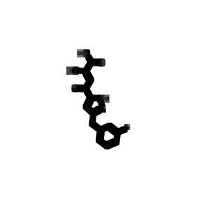 O=C(O)C(O)=CC(=O)c1cc(Cc2cccc(F)c2)n[nH]1